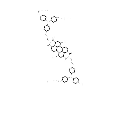 CCCCCCOc1ccc(N(c2ccc(C)cc2)c2ccc(CCCN3C(=O)c4ccc5c6c(Br)cc7c8c(ccc(c9c(Br)cc(c4c59)C3=O)c86)C(=O)N(CCCc3ccc(N(c4ccc(OCCCCCC)cc4)c4ccc(OCCCCCC)cc4)cc3)C7=O)cc2)cc1